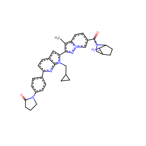 Cc1c(-c2cc3ccc(-c4ccc(N5CCCC5=O)cc4)nc3n2CC2CC2)nn2cc(C(=O)N3CC4CCC3[C@@H]4N)ccc12